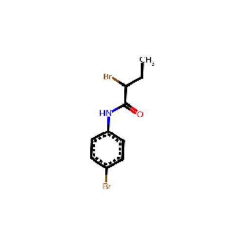 CCC(Br)C(=O)Nc1ccc(Br)cc1